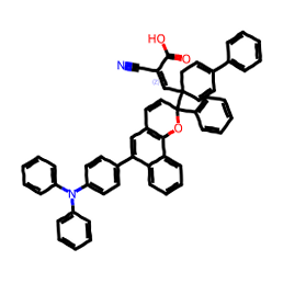 N#C/C(=C/C1(C2(c3ccccc3)C=Cc3cc(-c4ccc(N(c5ccccc5)c5ccccc5)cc4)c4ccccc4c3O2)C=CC(c2ccccc2)=CC1)C(=O)O